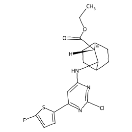 CCOC(=O)[C@@H]1C2CCC(CC2)C1Nc1cc(-c2ccc(F)s2)nc(Cl)n1